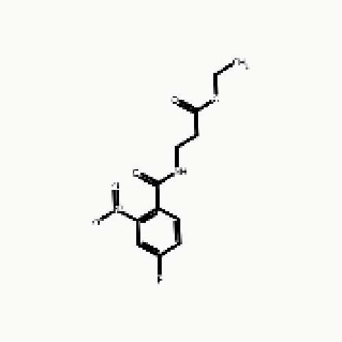 CCOC(=O)CCNC(=O)c1ccc(F)cc1[N+](=O)[O-]